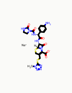 Cn1nnnc1SCC1=C(C(=O)[O-])N2C(=O)[C@@H](NC(=O)[C@H](NC(=O)N3CCNC3=O)c3ccc(N)cc3)[C@@H]2SC1.[Na+]